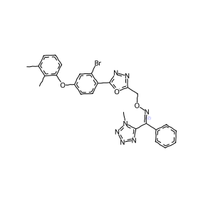 Cc1cccc(Oc2ccc(-c3nnc(CO/N=C(/c4ccccc4)c4nnnn4C)o3)c(Br)c2)c1C